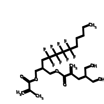 C=C(C)C(=O)OCC(COC(=O)C(=C)CC(CO)CO)CC(F)(F)C(F)(F)C(F)(F)C(F)(F)CCCCC